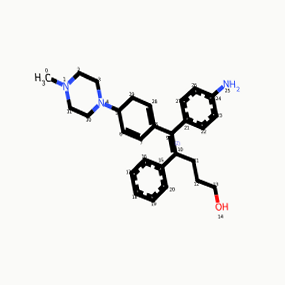 CN1CCN(C2C=CC(/C(=C(/CCCO)c3ccccc3)c3ccc(N)cc3)=CC2)CC1